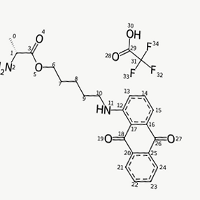 C[C@@H](N)C(=O)OCCCCCNc1cccc2c1C(=O)c1ccccc1C2=O.O=C(O)C(F)(F)F